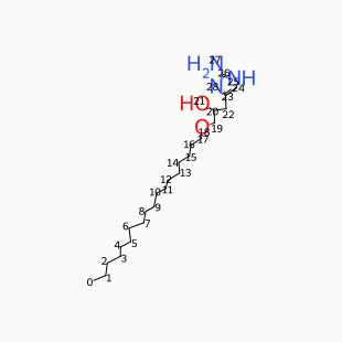 CCCCCCCCCCCCCCCCCCOCC(O)Cc1c[nH]c(N)n1